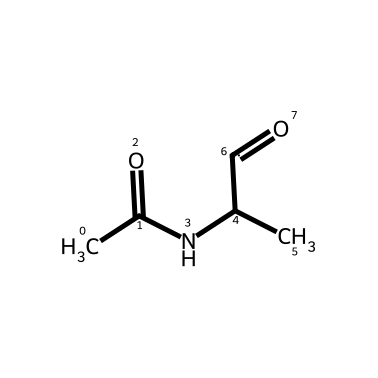 CC(=O)NC(C)[C]=O